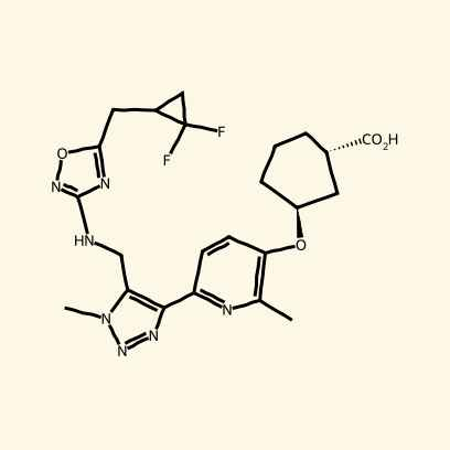 Cc1nc(-c2nnn(C)c2CNc2noc(CC3CC3(F)F)n2)ccc1O[C@H]1CCC[C@H](C(=O)O)C1